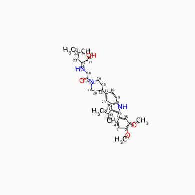 COc1ccc(-c2[nH]c3ccc(C4CCN(C(=O)CN[C@H](CO)CC(C)C)CC4)cc3c2C(C)C)cc1OC